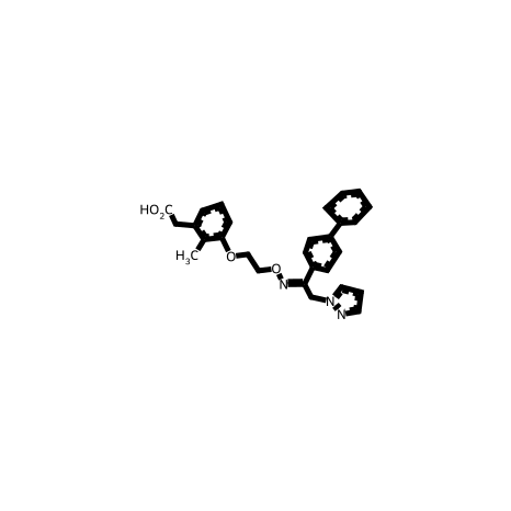 Cc1c(CC(=O)O)cccc1OCCON=C(Cn1cccn1)c1ccc(-c2ccccc2)cc1